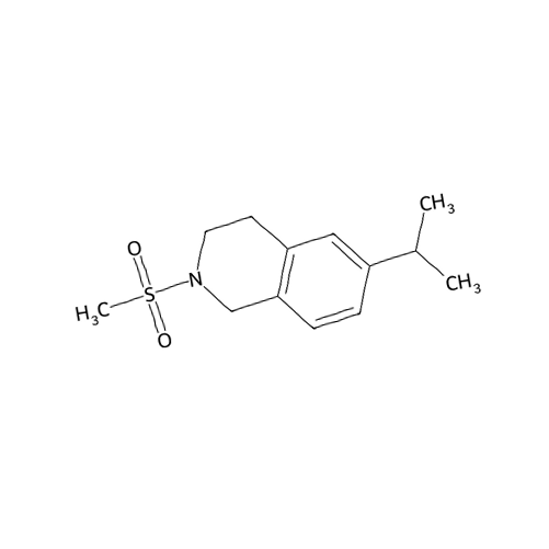 CC(C)c1ccc2c(c1)CCN(S(C)(=O)=O)C2